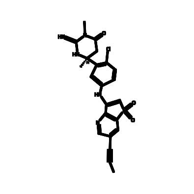 CC#Cc1cnc2c(c1)S(=O)(=O)C=C2Nc1ccc(Cl)c([C@]2(C)CC(=O)N(C)C(=N)N2)c1